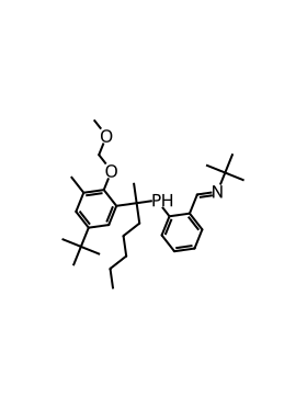 CCCCCC(C)(Pc1ccccc1/C=N/C(C)(C)C)c1cc(C(C)(C)C)cc(C)c1OCOC